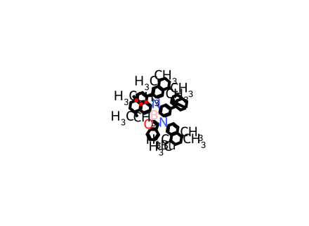 CC(C)(C)c1ccc2oc3c(c2c1)N(c1ccc2c(c1)C(C)(C)CCC2(C)C)c1cc(C24CC5CC(CC(C5)C2)C4)cc2c1B3c1cc3c(cc1N2c1cc2c(cc1-c1ccccc1)C(C)(C)CCC2(C)C)C(C)(C)CCC3(C)C